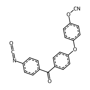 N#COc1ccc(Oc2ccc(C(=O)c3ccc(N=C=O)cc3)cc2)cc1